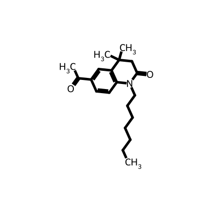 CCCCCCCN1C(=O)CC(C)(C)c2cc(C(C)=O)ccc21